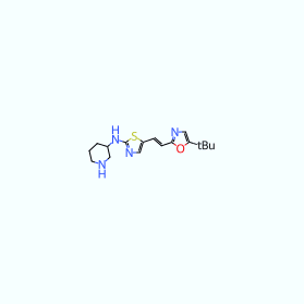 CC(C)(C)c1cnc(C=Cc2cnc(NC3CCCNC3)s2)o1